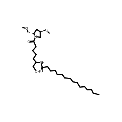 CCCCCCCCCCCCCCCC(=O)NC(CO)CCCCC(=O)N1C[C@H](OC)C[C@H]1COC